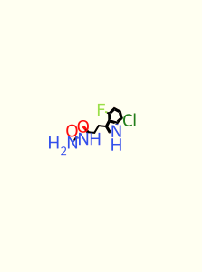 NC(=O)NC(=O)CCc1c[nH]c2c(Cl)ccc(F)c12